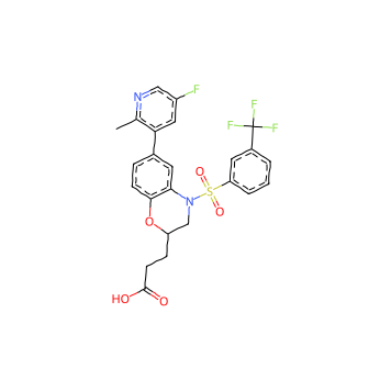 Cc1ncc(F)cc1-c1ccc2c(c1)N(S(=O)(=O)c1cccc(C(F)(F)F)c1)CC(CCC(=O)O)O2